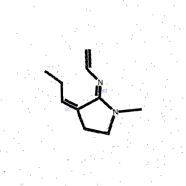 C=C/N=C1\C(=C/CC)CCN1C